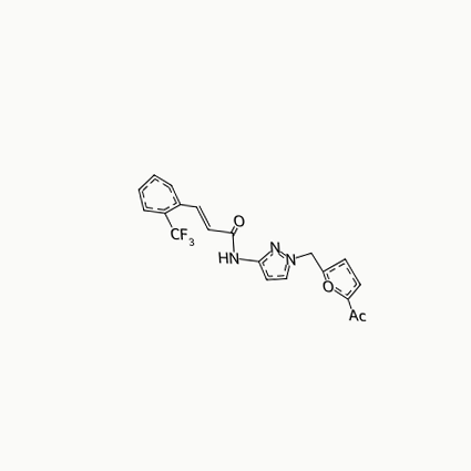 CC(=O)c1ccc(Cn2ccc(NC(=O)C=Cc3ccccc3C(F)(F)F)n2)o1